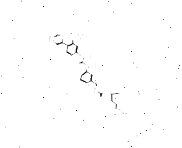 COc1cc(NC(=O)Nc2cccc(CNC(=O)OC(CO)CCC#N)c2)ccc1-c1cnco1